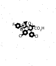 C[C@]1(CC(=O)O)C[C@H](c2cccc(Cl)c2)[C@@H](c2ccc(Cl)cc2)N(C(CS(=O)(=O)c2ccc(F)cc2)C2CC2)C1=O